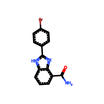 NC(=O)c1cccc2[nH]c(-c3ccc(Br)cc3)nc12